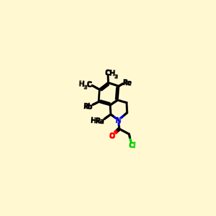 Cc1c(C)[c]([Re])c2c([c]1[Rb])[CH]([RaH])N(C(=O)CCl)CC2